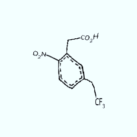 O=C(O)Cc1cc(CC(F)(F)F)ccc1[N+](=O)[O-]